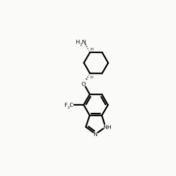 N[C@@H]1CCC[C@H](Oc2ccc3[nH]ncc3c2C(F)(F)F)C1